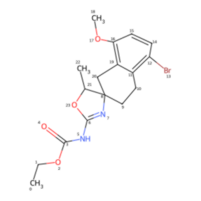 CCOC(=O)NC1=NC2(CCc3c(Br)ccc(OC)c3C2)C(C)O1